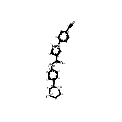 N#Cc1ccc(-n2cc(C(=O)Nc3ccc(C4CNCCO4)cc3)cn2)cc1